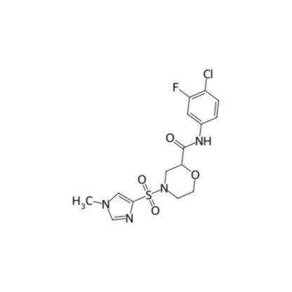 Cn1cnc(S(=O)(=O)N2CCOC(C(=O)Nc3ccc(Cl)c(F)c3)C2)c1